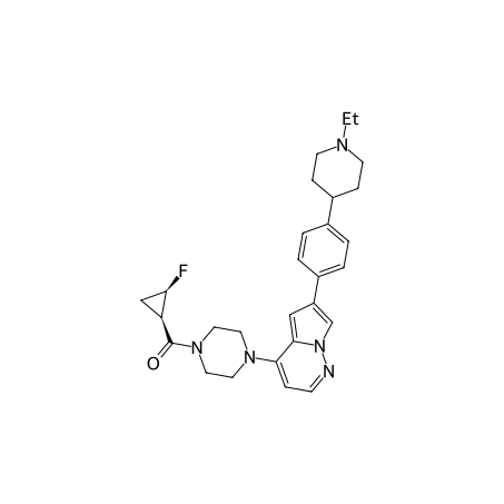 CCN1CCC(c2ccc(-c3cc4c(N5CCN(C(=O)[C@H]6C[C@H]6F)CC5)ccnn4c3)cc2)CC1